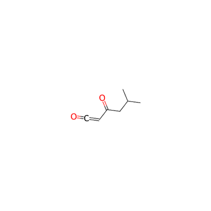 CC(C)CC(=O)C=C=O